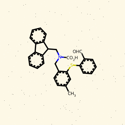 Cc1ccc(CN(CC2c3ccccc3-c3ccccc32)C(=O)O)c(Sc2ccccc2C=O)c1